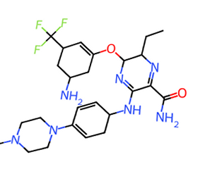 CCC1N=C(C(N)=O)C(NC2C=CC(N3CCN(C)CC3)=CC2)=NC1OC1=CC(C(F)(F)F)CC(N)C1